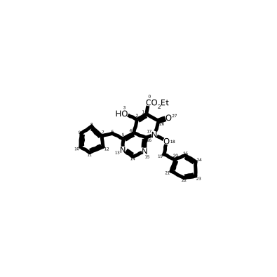 CCOC(=O)c1c(O)c2c(Cc3ccccc3)ncnc2n(OCc2ccccc2)c1=O